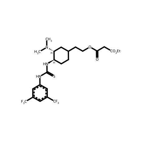 CCOC(=O)CC(=O)OCCC1CC[C@@H](NC(=S)Nc2cc(C(F)(F)F)cc(C(F)(F)F)c2)[C@H](N(C)C)C1